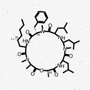 CCCC[C@@H](C)CC1NC(=O)[C@H](Cc2ccccc2)N(C)C(=O)C(CC(C)C)NC(CC(C)C)N(C)C(=O)C(CC(C)C)NC(=O)[C@@H](C)OC(=O)C(C)N(C)C1=O